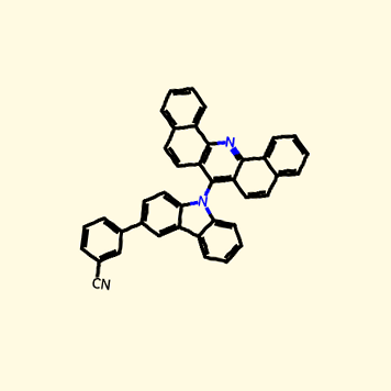 N#Cc1cccc(-c2ccc3c(c2)c2ccccc2n3-c2c3ccc4ccccc4c3nc3c2ccc2ccccc23)c1